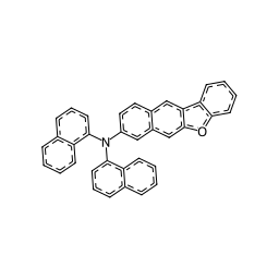 c1ccc2c(N(c3ccc4cc5c(cc4c3)oc3ccccc35)c3cccc4ccccc34)cccc2c1